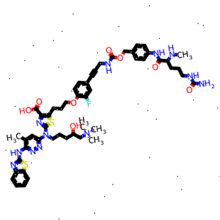 CNC(CCCNC(N)=O)C(=O)Nc1ccc(COC(=O)NCC#Cc2ccc(OCCCc3sc(N(CCCC(O)C[N+](C)(C)C)c4cc(C)c(Nc5nc6ccccc6s5)nn4)nc3C(=O)O)c(F)c2)cc1